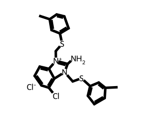 Cc1cccc(SCn2c(N)[n+](CSc3cccc(C)c3)c3cccc(Cl)c32)c1.[Cl-]